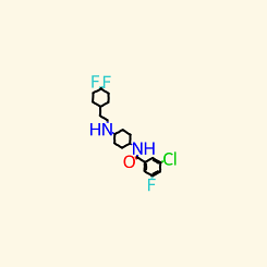 O=C(N[C@H]1CC[C@H](NCCC2CCC(F)(F)CC2)CC1)c1cc(F)cc(Cl)c1